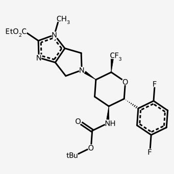 CCOC(=O)c1nc2c(n1C)CN([C@@H]1C[C@H](NC(=O)OC(C)(C)C)[C@@H](c3cc(F)ccc3F)O[C@@H]1C(F)(F)F)C2